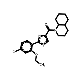 CCOc1cc(Cl)ccc1-c1nc(C(=O)N2CCCC3CCCCC32)cs1